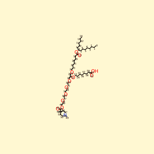 CCCCCCCCC(CCCCCC)OC(=O)CCCCCCCOCC(COCCOCCOCCOCCOC(=O)C1(C)CCN(C)CC1)OCCCCCCCC(=O)O